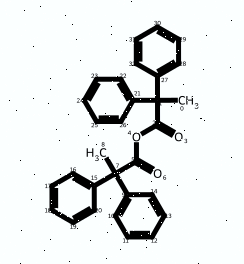 CC(C(=O)OC(=O)C(C)(c1ccccc1)c1ccccc1)(c1ccccc1)c1ccccc1